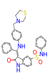 O=C1Nc2ccc(S(=O)(=O)Nc3ccccc3)cc2C1=C(Nc1ccc(CN2CCSCC2)cc1)c1ccccc1